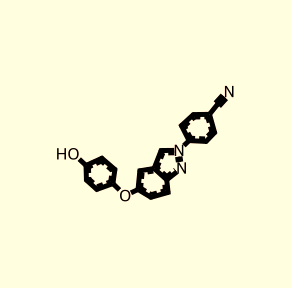 N#Cc1ccc(-n2cc3cc(Oc4ccc(O)cc4)ccc3n2)cc1